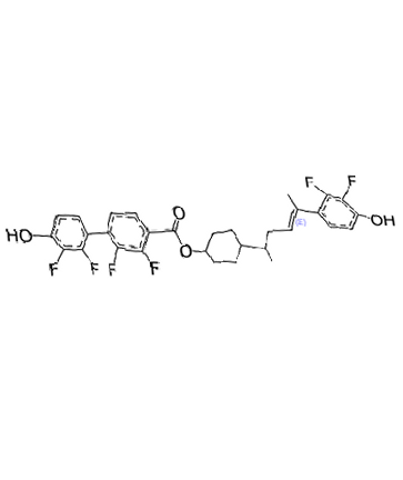 C/C(=C\CC(C)C1CCC(OC(=O)c2ccc(-c3ccc(O)c(F)c3F)c(F)c2F)CC1)c1ccc(O)c(F)c1F